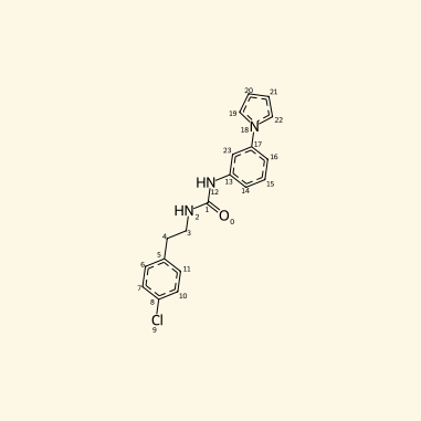 O=C(NCCc1ccc(Cl)cc1)Nc1cccc(-n2cccc2)c1